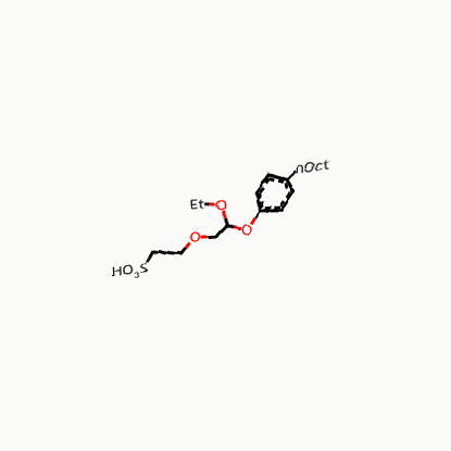 CCCCCCCCc1ccc(OC(COCCS(=O)(=O)O)OCC)cc1